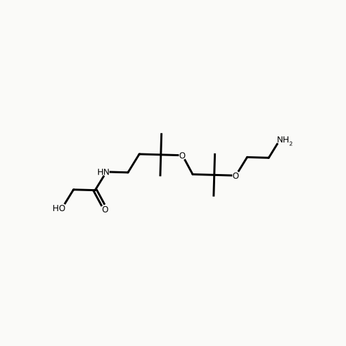 CC(C)(CCNC(=O)CO)OCC(C)(C)OCCN